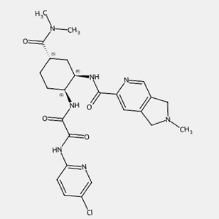 CN1Cc2cnc(C(=O)N[C@@H]3C[C@@H](C(=O)N(C)C)CC[C@@H]3NC(=O)C(=O)Nc3ccc(Cl)cn3)cc2C1